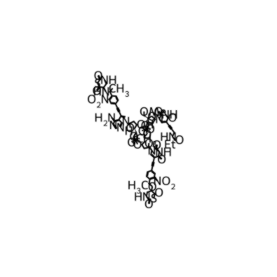 CCC(=O)NCC#Cc1cn([C@H]2C[C@H](OP(C)(=O)OC[C@H]3O[C@@H](n4cc(C#Cc5ccc(C(C)OC6CNC(=O)SC6=O)c([N+](=O)[O-])c5)c(=O)[nH]c4=O)C[C@@H]3OP(C)(=O)OC[C@H]3O[C@@H](n4cc(C#Cc5ccc(C(C)NC6CNC(=O)SC6=O)c([N+](=O)[O-])c5)c5c(N)ncnc54)C[C@@H]3O)[C@@H](COC)O2)c(=O)[nH]c1=O